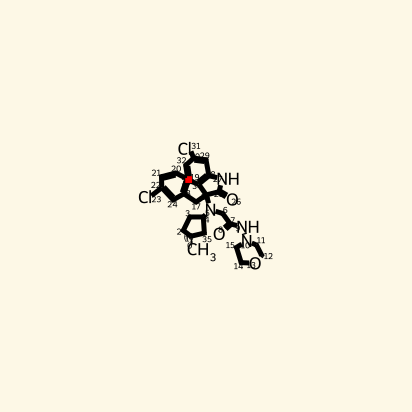 C[C@@H]1CCC(N(CC(=O)NN2CCOCC2)C2(Cc3cccc(Cl)c3)C(=O)Nc3cc(Cl)ccc32)C1